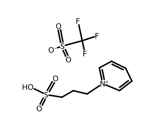 O=S(=O)(O)CCC[n+]1ccccc1.O=S(=O)([O-])C(F)(F)F